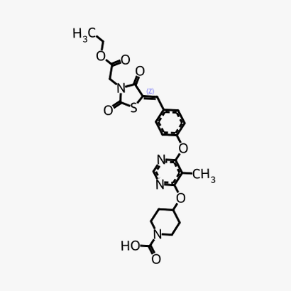 CCOC(=O)CN1C(=O)S/C(=C\c2ccc(Oc3ncnc(OC4CCN(C(=O)O)CC4)c3C)cc2)C1=O